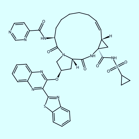 O=C(N[C@H]1CCCCCC=C[C@@H]2C[C@@]2(C(=O)NS(=O)(=O)C2CC2)NC(=O)[C@@H]2C[C@@H](Oc3nc4ccccc4nc3-c3nc4ccccc4s3)CN2C1=O)c1ccncn1